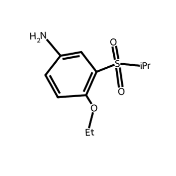 CCOc1ccc(N)cc1S(=O)(=O)C(C)C